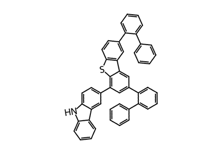 c1ccc(-c2ccccc2-c2ccc3sc4c(-c5ccc6[nH]c7ccccc7c6c5)cc(-c5ccccc5-c5ccccc5)cc4c3c2)cc1